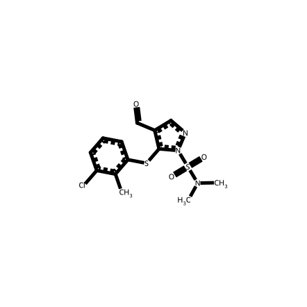 Cc1c(Cl)cccc1Sc1c(C=O)cnn1S(=O)(=O)N(C)C